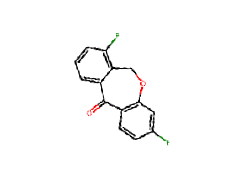 O=C1c2ccc(F)cc2OCc2c(F)cccc21